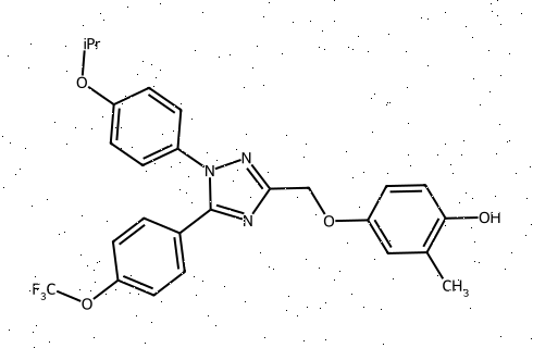 Cc1cc(OCc2nc(-c3ccc(OC(F)(F)F)cc3)n(-c3ccc(OC(C)C)cc3)n2)ccc1O